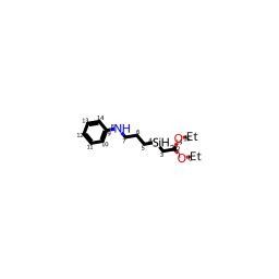 CCOC(C[SiH2]CCCNc1ccccc1)OCC